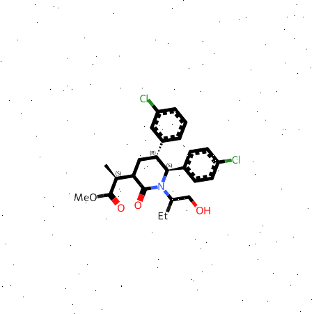 CCC(CO)N1C(=O)C([C@H](C)C(=O)OC)C[C@H](c2cccc(Cl)c2)[C@H]1c1ccc(Cl)cc1